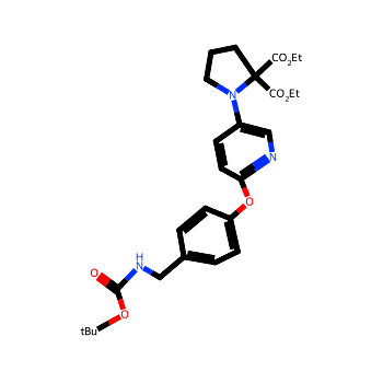 CCOC(=O)C1(C(=O)OCC)CCCN1c1ccc(Oc2ccc(CNC(=O)OC(C)(C)C)cc2)nc1